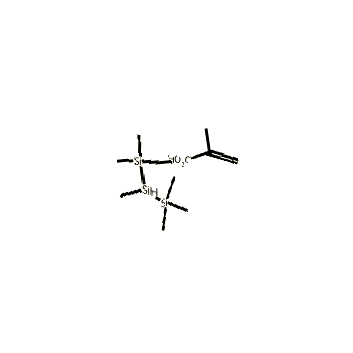 C=C(C)C(=O)O.C[SiH]([Si](C)(C)C)[Si](C)(C)C